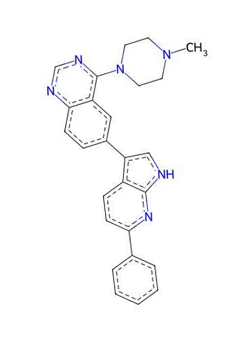 CN1CCN(c2ncnc3ccc(-c4c[nH]c5nc(-c6ccccc6)ccc45)cc23)CC1